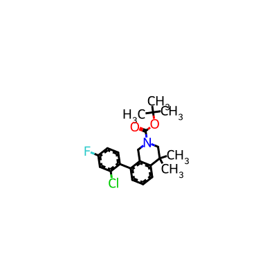 CC(C)(C)OC(=O)N1Cc2c(-c3ccc(F)cc3Cl)cccc2C(C)(C)C1